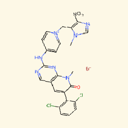 Cn1cnc([N+](=O)[O-])c1C[n+]1ccc(Nc2ncc3cc(-c4c(Cl)cccc4Cl)c(=O)n(C)c3n2)cc1.[Br-]